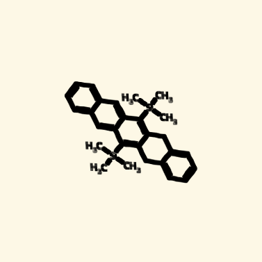 C[Si](C)(C)c1c2c(c([Si](C)(C)C)c3cc4ccccc4cc13)Cc1ccccc1C2